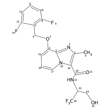 Cc1nc2c(OCc3c(F)cccc3F)cccn2c1C(=O)NC(CO)C(F)(F)F